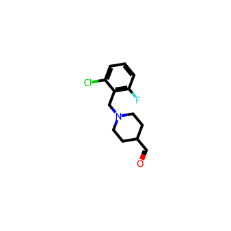 O=CC1CCN(Cc2c(F)cccc2Cl)CC1